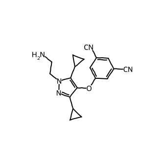 [C-]#[N+]c1cc(C#N)cc(Oc2c(C3CC3)nn(CCN)c2C2CC2)c1